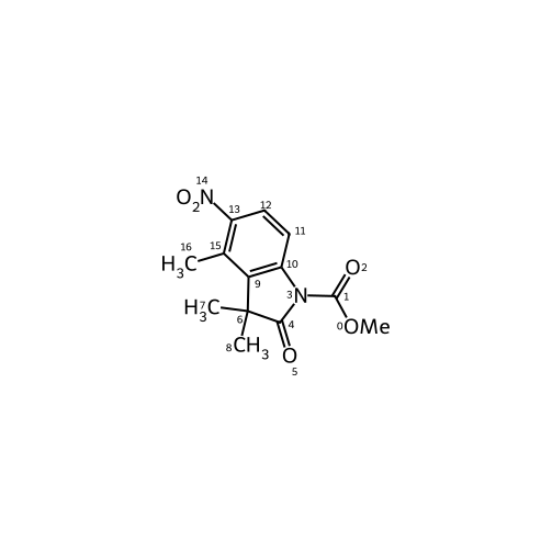 COC(=O)N1C(=O)C(C)(C)c2c1ccc([N+](=O)[O-])c2C